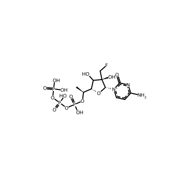 C[C@H](OP(=O)(O)OP(=O)(O)OP(=O)(O)O)[C@H]1O[C@@H](n2ccc(N)nc2=O)[C@@](O)(CF)C1O